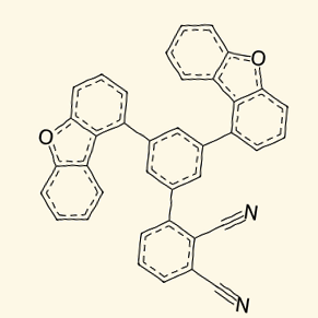 N#Cc1cccc(-c2cc(-c3cccc4oc5ccccc5c34)cc(-c3cccc4oc5ccccc5c34)c2)c1C#N